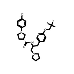 O=C(NC(Cc1ccc(OCC(F)(F)F)nc1)CN1CCCC1)[C@@H]1CCN(c2ccc(Cl)cc2)C1